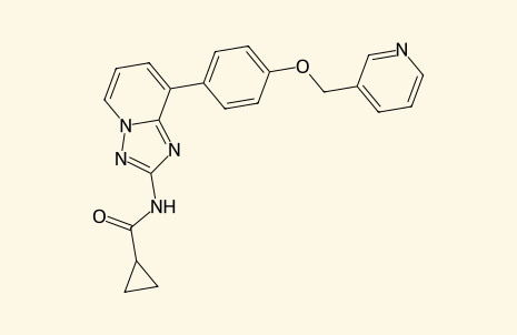 O=C(Nc1nc2c(-c3ccc(OCc4cccnc4)cc3)cccn2n1)C1CC1